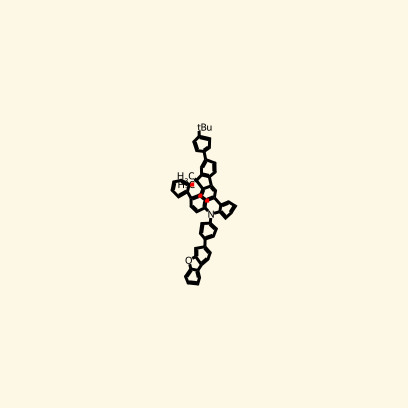 CC(C)(C)c1ccc(-c2ccc3c(c2)C(C)(C)c2ccc(-c4ccccc4N(c4ccc(-c5ccccc5)cc4)c4ccc(-c5ccc6c(c5)oc5ccccc56)cc4)cc2-3)cc1